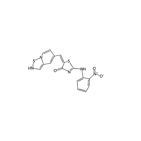 O=C1N=C(Nc2ccccc2[N+](=O)[O-])SC1=CC1=CC2=CNSN2C=C1